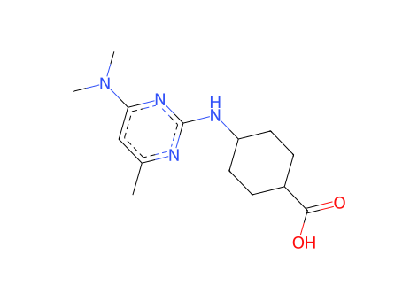 Cc1cc(N(C)C)nc(NC2CCC(C(=O)O)CC2)n1